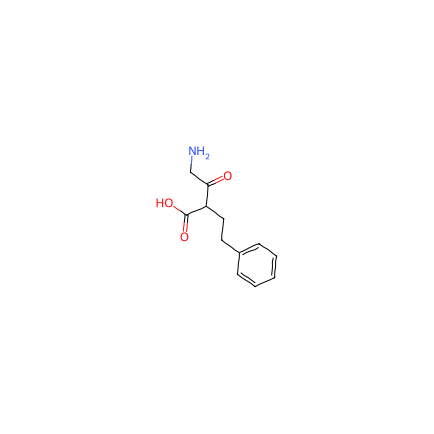 NCC(=O)C(CCc1ccccc1)C(=O)O